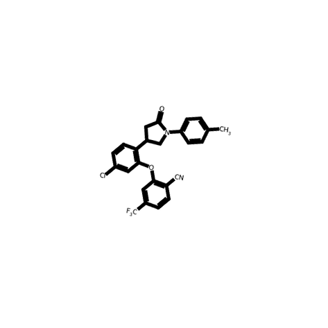 Cc1ccc(N2CC(c3ccc(Cl)cc3Oc3cc(C(F)(F)F)ccc3C#N)CC2=O)cc1